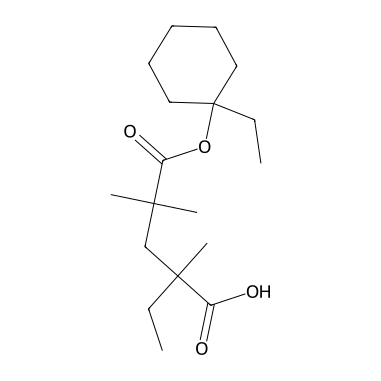 CCC1(OC(=O)C(C)(C)CC(C)(CC)C(=O)O)CCCCC1